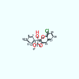 COC(=O)C(O)(c1ccc(C)cc1)C1C=Cc2cccc(Cl)c2O1